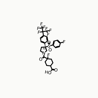 O=C(O)C1CCC(F)(C(=O)N2CC[C@](c3ccc(C(F)(C(F)(F)F)C(F)(F)F)cc3)(S(=O)(=O)c3ccc(F)cc3)C2)CC1